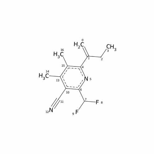 C=C(CC)c1nc(C(F)F)c(C#N)c(C)c1C